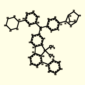 CC1(C)c2cc(N(c3ccc(C4CC5CCC4C5)cc3)c3cccc(C4CCCCC4)c3)ccc2-c2cccc(-c3ccccc3)c21